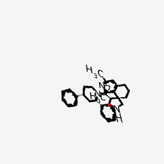 Cc1cc2c(c(C)n1)[C@]1(CCC2)CNC[C@H]1C(=O)N1CC[C@@H](c2ccccc2)C[C@H]1c1ccccc1